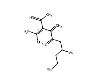 C=C(C(=O)CC(CCC(C)(C)C)C(C)=O)/C(C(C)=N)=C(\C)P